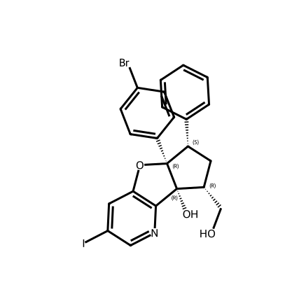 OC[C@H]1C[C@@H](c2ccccc2)[C@]2(c3ccc(Br)cc3)Oc3cc(I)cnc3[C@]12O